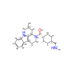 CNC[C@H]1CC[C@H](C(=O)N2CCc3c([nH]c4ccccc34)C2CC(C)C)CC1